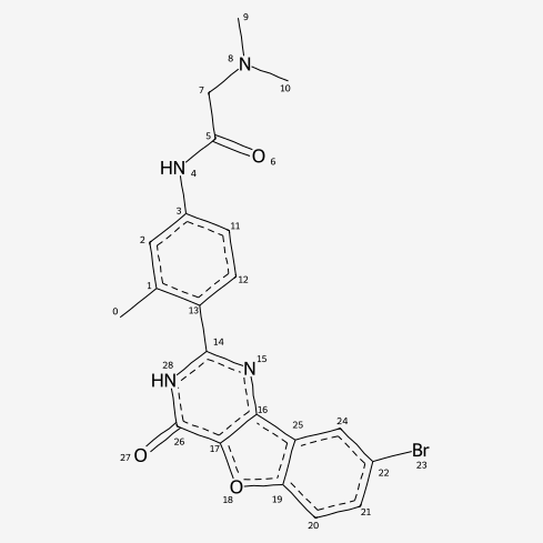 Cc1cc(NC(=O)CN(C)C)ccc1-c1nc2c(oc3ccc(Br)cc32)c(=O)[nH]1